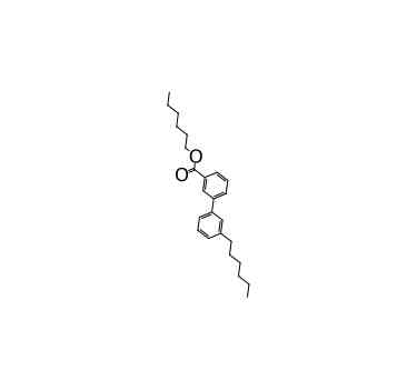 CCCCCCOC(=O)c1cccc(-c2cccc(CCCCCC)c2)c1